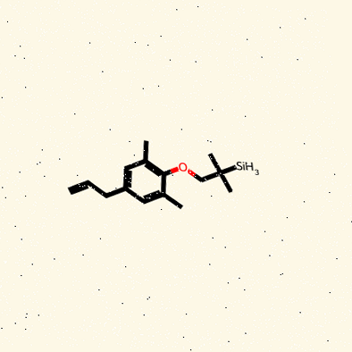 C=CCc1cc(C)c(OCC(C)(C)[SiH3])c(C)c1